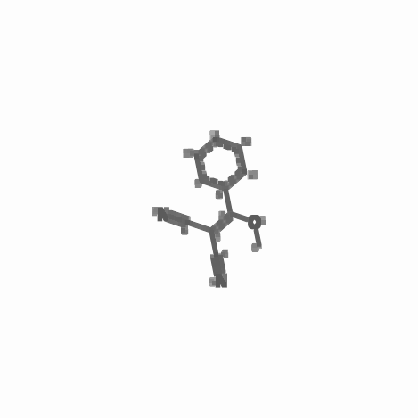 COC(=C(C#N)C#N)c1c[c]ccc1